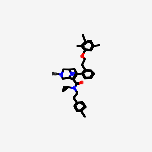 CC(=O)N1CC2CC(c3ccccc3CCOc3cc(C)cc(C)c3C)=C(C(=O)N(CCc3ccc(C)cc3)C3CC3)C(C1)N2